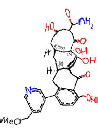 COCc1cncc(-c2ccc(O)c3c2C[C@H]2C[C@H]4CC(O)C(C(N)=O)C(=O)[C@@]4(O)C(O)=C2C3=O)c1